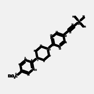 CCOC(=O)c1cnc(N2CCN(c3ncc(C#C[Si](C)(C)C)cn3)CC2)nc1